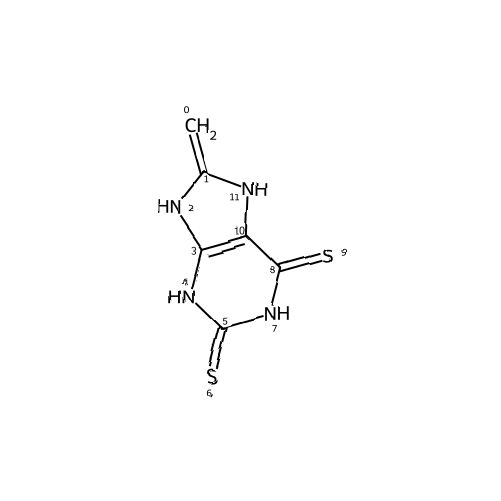 C=C1Nc2[nH]c(=S)[nH]c(=S)c2N1